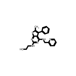 Cc1sc2nc(NCCO)nc(NCc3ccccn3)c2c1-c1ccccc1